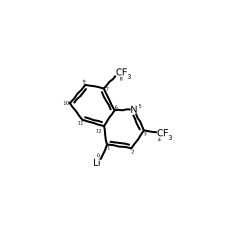 [Li][c]1cc(C(F)(F)F)nc2c(C(F)(F)F)cccc12